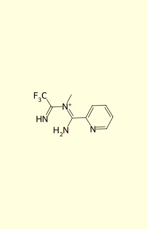 C/[N+](C(=N)C(F)(F)F)=C(/N)c1ccccn1